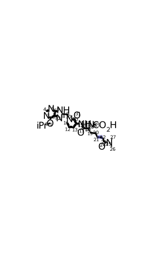 CC(C)Oc1ncnc2[nH]c(Cn3cccc(NC(=O)[C@H](CC/C=C/C(=O)N(C)C)NC(=O)O)c3=O)nc12